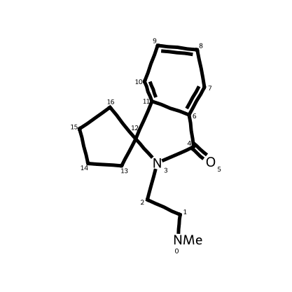 CNCCN1C(=O)c2ccccc2C12CCCC2